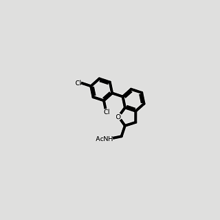 CC(=O)NCC1Cc2cccc(-c3ccc(Cl)cc3Cl)c2O1